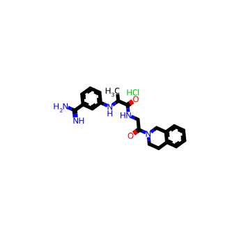 CC(Nc1cccc(C(=N)N)c1)C(=O)NCC(=O)N1CCc2ccccc2C1.Cl